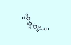 COc1ccc(-c2cc(-c3ccc(S(=O)(=O)CCCO)cc3)[nH]n2)cc1Cl